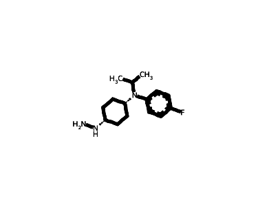 CC(C)N(c1ccc(F)cc1)[C@H]1CC[C@@H](NN)CC1